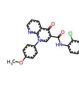 COc1ccc(-n2cc(C(=O)Nc3ccncc3Cl)c(=O)c3cccnc32)cc1